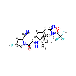 CC1(C)[C@H](Cc2noc(C(F)(F)F)n2)CC[C@]1(C)NCC(=O)N1C[C@@H](F)C[C@H]1C#N